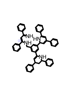 N=C(/C=C(\NCc1cc(C2=CC(c3ccccc3)CC(c3ccccc3)N2)cc(C2C=C(c3ccccc3)C=C(c3ccccc3)N2)c1)c1ccccc1)c1ccccc1